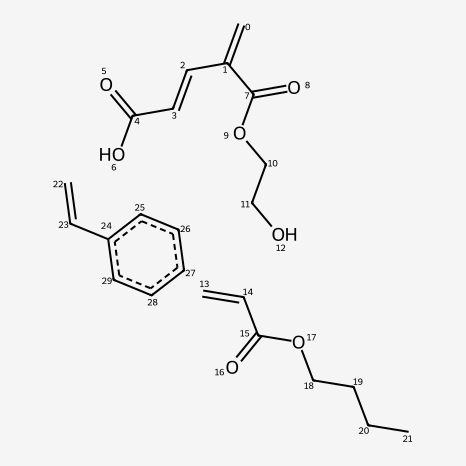 C=C(C=CC(=O)O)C(=O)OCCO.C=CC(=O)OCCCC.C=Cc1ccccc1